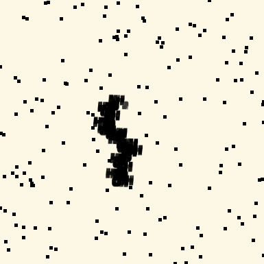 NCC(=O)NCC(=O)NCC(=O)N[C@@H](CO)C(=O)NCC(=O)NCC(=O)NCC(=O)N[C@@H](CO)C(=O)NCC(=O)NCC(=O)NCC(=O)N[C@@H](CO)C(=O)O